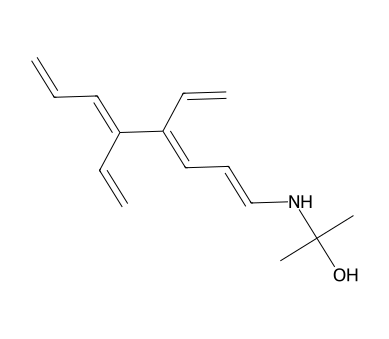 C=C/C=C(C=C)/C(C=C)=C/C=C/NC(C)(C)O